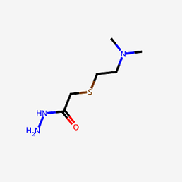 CN(C)CCSCC(=O)NN